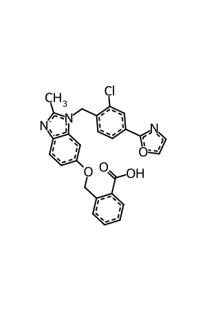 Cc1nc2ccc(OCc3ccccc3C(=O)O)cc2n1Cc1ccc(-c2ncco2)cc1Cl